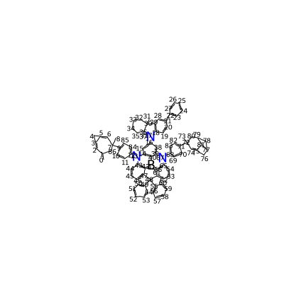 CC1C=C2CC2=CC(C)(c2ccc(N3c4cc(N5c6ccc(-c7ccccc7)cc6C6(C)CCCCC56C)cc5c4B4c6c3cccc6C(c3ccccc3)(c3ccccc3)c3cccc(c34)N5c3ccc(C4(C)C=C5CC6CC(C4)C56)cc3)cc2)C1